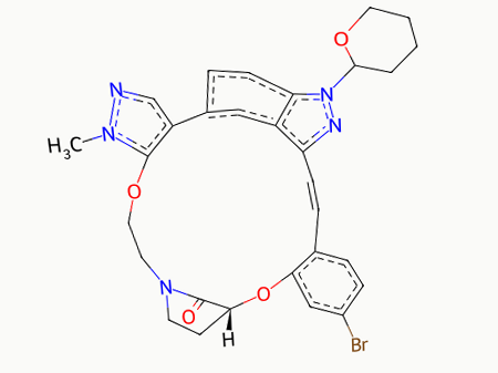 Cn1ncc2c1OCCN1CC[C@@H](Oc3cc(Br)ccc3/C=C/c3nn(C4CCCCO4)c4ccc-2cc34)C1=O